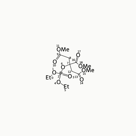 CCOP(=O)(OCC)OC(CC(=O)OC)(CC(=O)OC)C(=O)OC